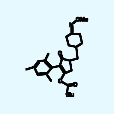 CON=C1CCC(CC2CC(OC(=O)C(C)(C)C)=C(c3c(C)cc(C)cc3C)C2=O)CC1